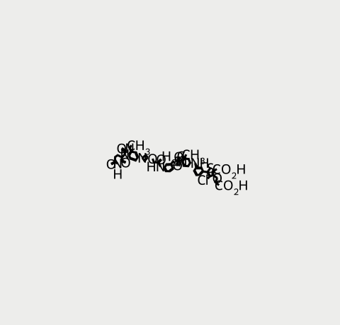 Cn1c(=O)n(C2CCC(=O)NC2=O)c2ccc(N3CC(OCC(=O)Nc4cccc(CS(=O)(=O)N5CC[C@H](Nc6cccc(-c7sc(C(=O)O)c(OCC(=O)O)c7Cl)c6)CC5(C)C)c4)C3)cc21